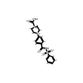 O=C(NS(=O)(=O)c1ccccc1)c1ccc(N2CCN(C(=O)O)CC2)cc1